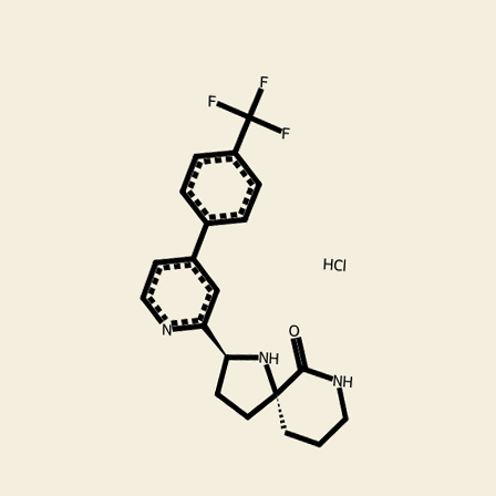 Cl.O=C1NCCC[C@@]12CC[C@@H](c1cc(-c3ccc(C(F)(F)F)cc3)ccn1)N2